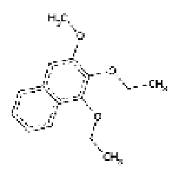 CCOc1c(OC)cc2ccccc2c1OCC